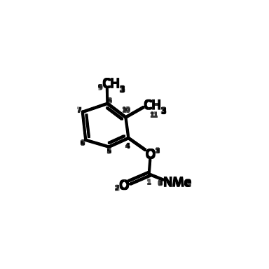 CNC(=O)Oc1cccc(C)c1C